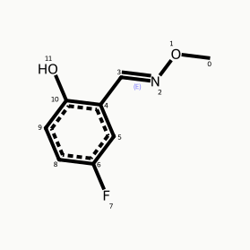 CO/N=C/c1cc(F)ccc1O